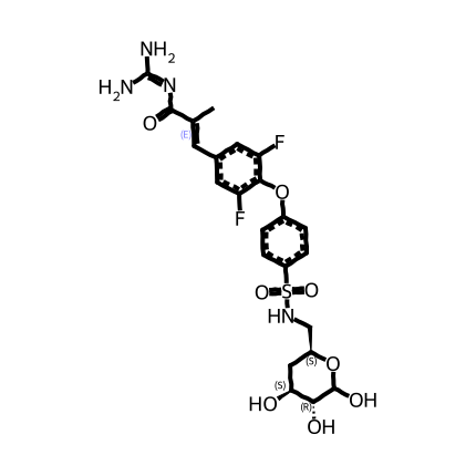 C/C(=C\c1cc(F)c(Oc2ccc(S(=O)(=O)NC[C@@H]3C[C@H](O)[C@@H](O)C(O)O3)cc2)c(F)c1)C(=O)N=C(N)N